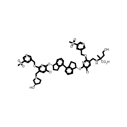 C[C@@](CCO)(NCc1cc(Cl)c(O[C@H]2CCc3c(-c4cccc5c4CC[C@@H]5Oc4nc(OCc5cncc(S(C)(=O)=O)c5)c(CN5CC[C@@H](O)C5)cc4Cl)cccc32)nc1OCc1cncc(S(C)(=O)=O)c1)C(=O)O